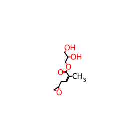 CC(=CCC1CO1)C(=O)OCC(O)CO